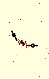 C#Cc1ccc(C#CCOO[C@H]2CO[C@H]3C(OC(=O)C#Cc4ccc(C#C)cc4)CO[C@@H]23)cc1